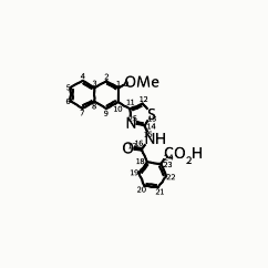 COc1cc2ccccc2cc1-c1csc(NC(=O)c2ccccc2C(=O)O)n1